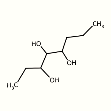 CCCC(O)C(O)C(O)CC